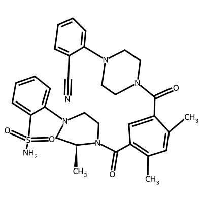 Cc1cc(C)c(C(=O)N2CCN(c3ccccc3S(N)(=O)=O)C[C@@H]2C)cc1C(=O)N1CCN(c2ccccc2C#N)CC1